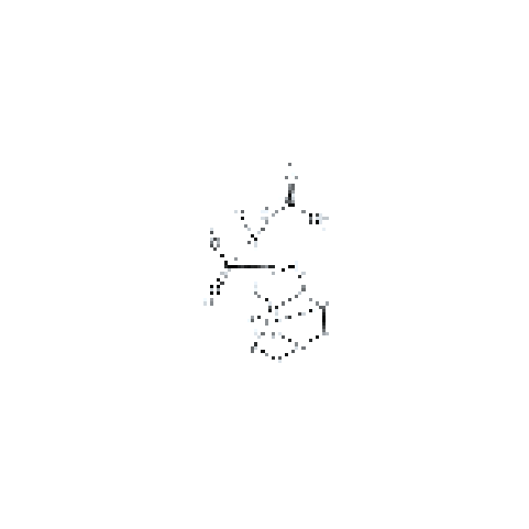 NC(CC12CC3CC(CC(C3)C1)C2)(C(=O)O)C1CC1C(=O)O